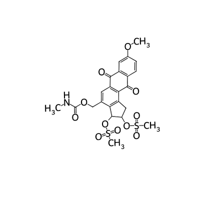 CNC(=O)OCc1cc2c(c3c1C(OS(C)(=O)=O)C(OS(C)(=O)=O)C3)C(=O)c1ccc(OC)cc1C2=O